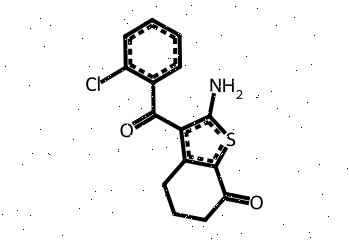 Nc1sc2c(c1C(=O)c1ccccc1Cl)CCCC2=O